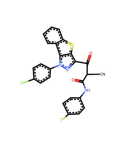 N#CC(C(=O)Nc1ccc(F)cc1)C(=O)c1nn(-c2ccc(F)cc2)c2c1sc1ccccc12